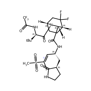 CC(C)(C)[C@@H](NC(=O)C(F)(F)F)C(=O)N1[C@@H]2CC[C@H]([C@@H]1C(=O)N[C@@H](/C=C(\F)S(C)(=O)=O)C[C@H]1CCNC1=O)C(F)(F)C2